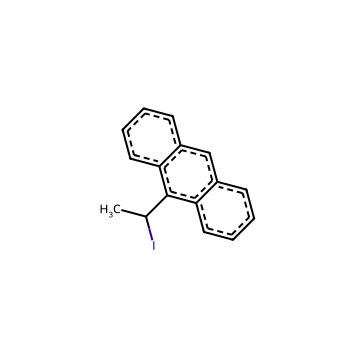 CC(I)c1c2ccccc2cc2ccccc12